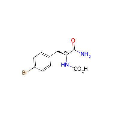 NC(=O)[C@H](Cc1ccc(Br)cc1)NC(=O)O